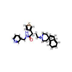 O=C(NCc1cccnc1)[C@@H](CCN1CCC2(C=Cc3ccccc32)CC1)c1ccsc1